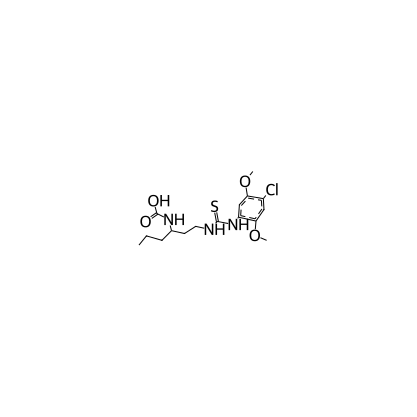 CCCC(CCNC(=S)Nc1cc(OC)c(Cl)cc1OC)NC(=O)O